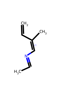 C=C/C(C)=C\N=CC